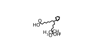 CC(C)(CCCCC(CCCCCCC(=O)O)c1ccccc1)C(=O)O